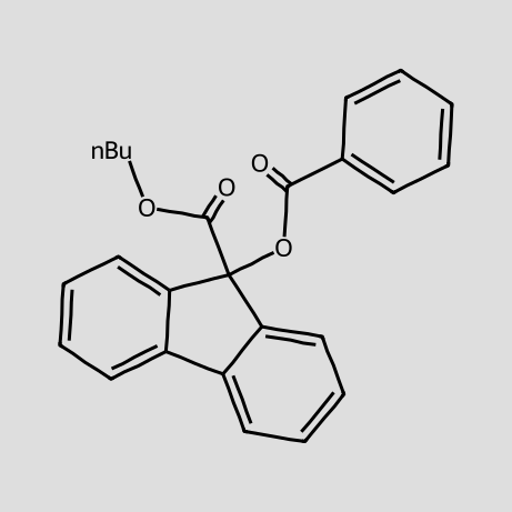 CCCCOC(=O)C1(OC(=O)c2ccccc2)c2ccccc2-c2ccccc21